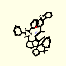 CC1=C(/C=C(\C)c2ccc3oc4ccccc4c3c2)C2C(c3nc(-c4ccccc4)nc(-c4ccccc4)n3)CCCC2C12c1ccccc1C(C)(C)c1ccccc12